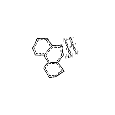 [N-]=[N+]=N.[N-]=[N+]=[N-].c1ccc2c(c1)cnc1ccccc12